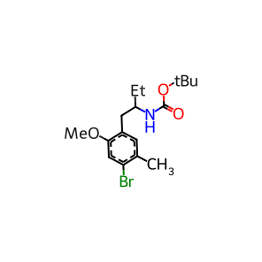 CCC(Cc1cc(C)c(Br)cc1OC)NC(=O)OC(C)(C)C